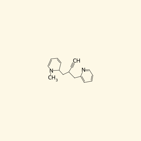 C#CC(Cc1ccccn1)CC1C=CC=CN1C